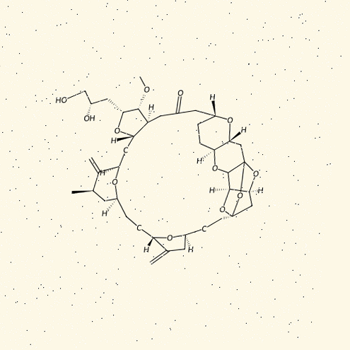 C=C1C[C@@H]2CC[C@]34C[C@@H]5OC6(C[C@H]7O[C@H](CC[C@@H]7OC6[C@@H]5O3)CC(=O)C[C@@H]3[C@@H](OC)[C@@H](C[C@H](O)CO)O[C@H]3C[C@H]3O[C@@H](CC[C@@H]1O2)C[C@@H](C)C3=C)O4